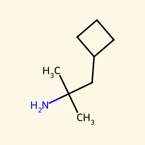 CC(C)(N)CC1CCC1